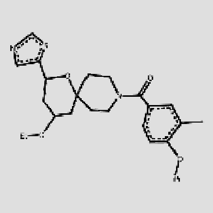 CCOC1CC(c2cncs2)OC2(CCN(C(=O)c3ccc(OC(C)C)c(C)c3)CC2)C1